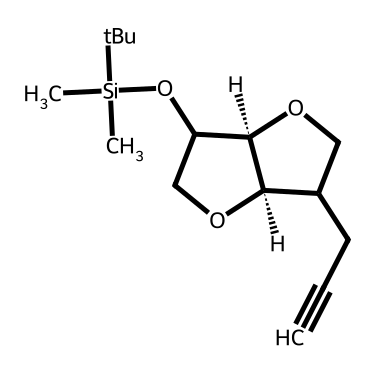 C#CCC1CO[C@@H]2C(O[Si](C)(C)C(C)(C)C)CO[C@H]12